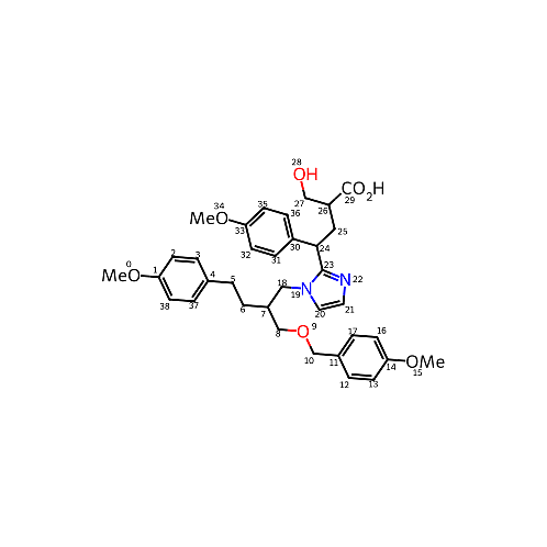 COc1ccc(CCC(COCc2ccc(OC)cc2)Cn2ccnc2C(CC(CO)C(=O)O)c2ccc(OC)cc2)cc1